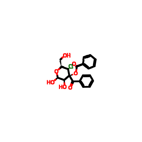 O=C(O[C@]1(C(=O)c2ccccc2)[C@@H](O)[C@@H](O)O[C@H](CO)[C@@H]1Cl)c1ccccc1